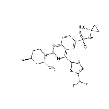 C[C@@H]1C[C@@H](O)CCN1c1nc(-c2nnc(C(F)F)s2)c2cc(S(=O)(=O)NC3(C)CC3)ccc2n1